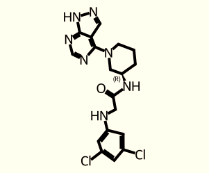 O=C(CNc1cc(Cl)cc(Cl)c1)N[C@@H]1CCCN(c2ncnc3[nH]ncc23)C1